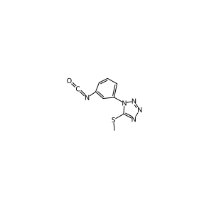 CSc1nnnn1-c1cccc(N=C=O)c1